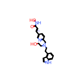 O=C(/C=C/c1ccc(CN(CCO)CCc2cccc3[nH]ccc23)nc1)NO